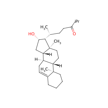 CC(C)C(=O)CC[C@@H](C)[C@H]1[C@@H](O)C[C@H]2[C@@H]3CC=C4CCCC[C@]4(C)[C@H]3CC[C@]12C